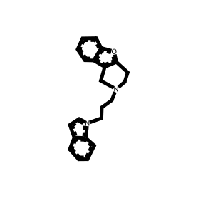 c1ccc2c(c1)ccn2CCCN1CCc2oc3ccccc3c2C1